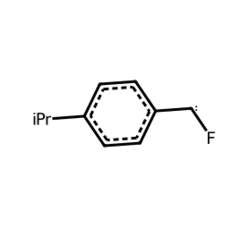 CC(C)c1ccc([C]F)cc1